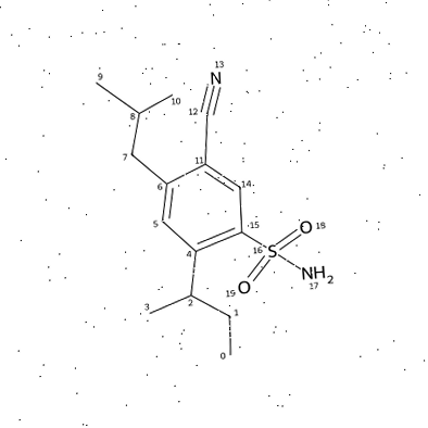 CCC(C)c1cc(CC(C)C)c(C#N)cc1S(N)(=O)=O